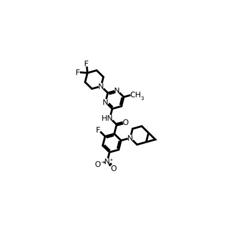 Cc1cc(NC(=O)c2c(F)cc([N+](=O)[O-])cc2N2CCC3CC3C2)nc(N2CCC(F)(F)CC2)n1